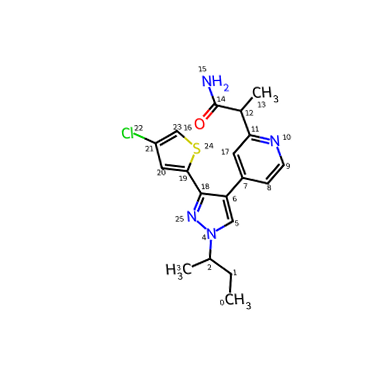 CCC(C)n1cc(-c2ccnc(C(C)C(N)=O)c2)c(-c2cc(Cl)cs2)n1